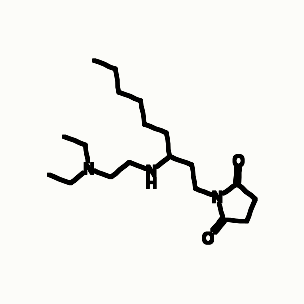 CCCCCCC(CCN1C(=O)CCC1=O)NCCN(CC)CC